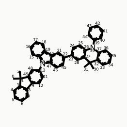 CC1(C)c2ccccc2-c2ccc(-n3c4ccccc4c4cc(-c5ccc6c(c5)C(C)(C)c5ccccc5N6c5ccccc5)ccc43)cc21